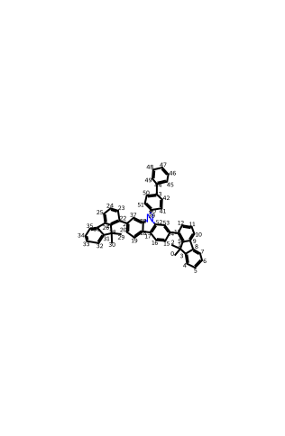 CC1(C)c2ccccc2-c2cccc(-c3ccc4c5ccc(-c6cccc7c6C(C)(C)c6ccccc6-7)cc5n(-c5ccc(-c6ccccc6)cc5)c4c3)c21